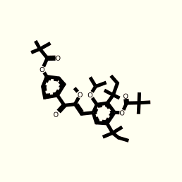 CCC(C)(C)c1cc(C=C(OC)C(=O)c2ccc(OC(=O)C(C)(C)C)cc2)c(OC(C)C)c(C(C)(C)CC)c1OC(=O)C(C)(C)C